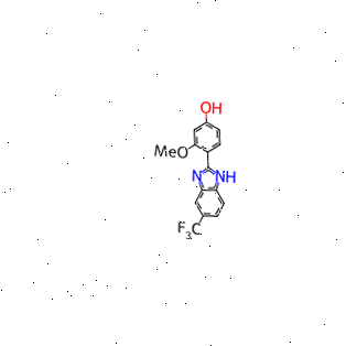 COc1cc(O)ccc1-c1nc2cc(C(F)(F)F)ccc2[nH]1